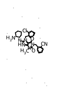 Cn1c(=O)n(Cc2ccccc2C#N)c(=O)c2c1nc(N[C@H]1CCCC[C@H]1N)n2Cc1ccccc1Cl